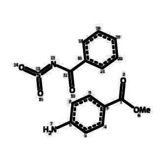 COC(=O)c1ccc(N)cc1.O=C(N=S(=O)=O)c1ccccc1